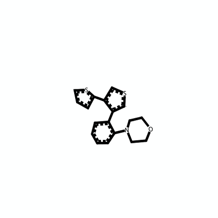 [c]1scc(-c2cccs2)c1-c1ccccc1N1CCOCC1